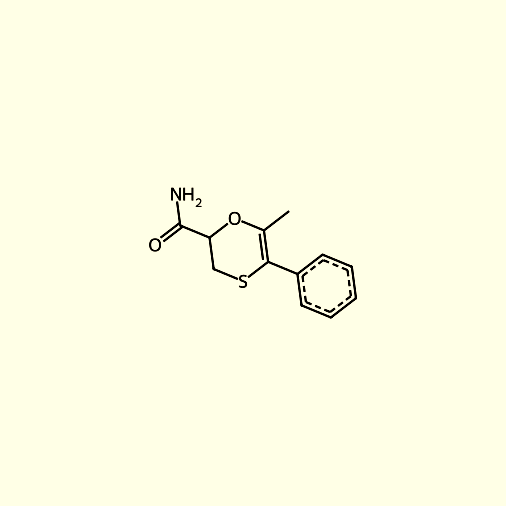 CC1=C(c2ccccc2)SCC(C(N)=O)O1